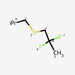 CC(C)CSCC(C)(F)F